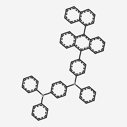 c1ccc(N(c2ccccc2)c2ccc(N(c3ccccc3)c3ccc(-c4c5ccccc5c(-c5cccc6ccccc56)c5ccccc45)cc3)cc2)cc1